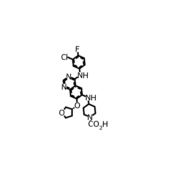 O=C(O)N1CCC(Nc2cc3c(Nc4ccc(F)c(Cl)c4)ncnc3cc2O[C@H]2CCOC2)CC1